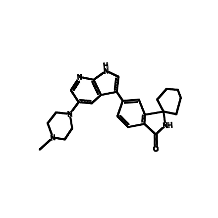 CN1CCN(c2cnc3[nH]cc(-c4ccc5c(c4)C4(CCCCC4)NC5=O)c3c2)CC1